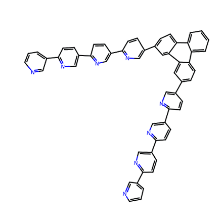 c1cncc(-c2ccc(-c3ccc(-c4ccc(-c5ccc6c7ccccc7c7ccc(-c8ccc(-c9ccc(-c%10ccc(-c%11cccnc%11)nc%10)nc9)nc8)cc7c6c5)cn4)cn3)cn2)c1